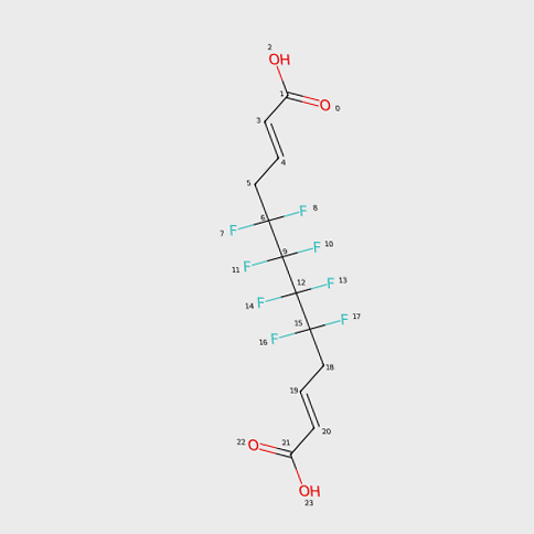 O=C(O)C=CCC(F)(F)C(F)(F)C(F)(F)C(F)(F)CC=CC(=O)O